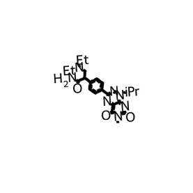 CCN(CC)CC(C(N)=O)c1ccc(-c2nc3c(=O)n(C)c(=O)nc-3n(C(C)C)n2)cc1